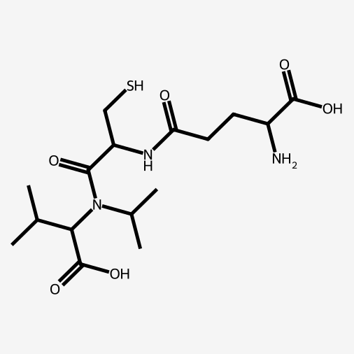 CC(C)C(C(=O)O)N(C(=O)C(CS)NC(=O)CCC(N)C(=O)O)C(C)C